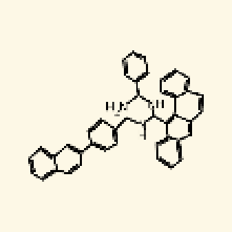 NC(NC(NCc1ccc(-c2ccc3ccccc3c2)cc1)c1c2ccccc2cc2ccc3ccccc3c12)c1ccccc1